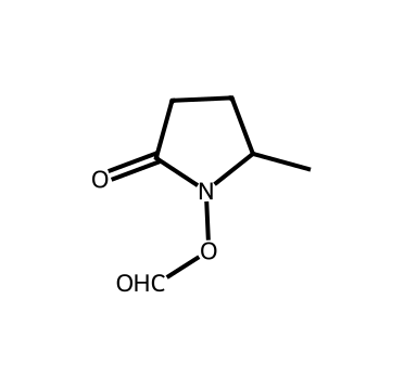 CC1CCC(=O)N1OC=O